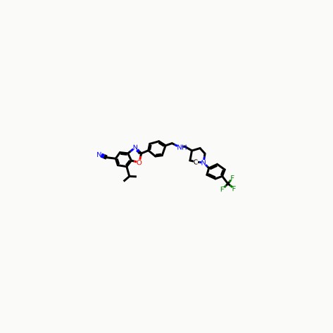 CC(C)c1cc(C#N)cc2nc(-c3ccc(CNCC4CCN(c5ccc(C(F)(F)F)cc5)CC4)cc3)oc12